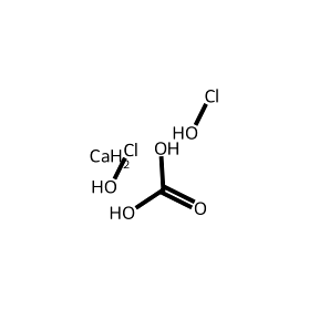 O=C(O)O.OCl.OCl.[CaH2]